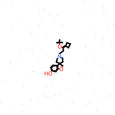 CC(C)(C)OC(CCN1CCC2(CC1)COc1cc(O)ccc12)=C1CCC1